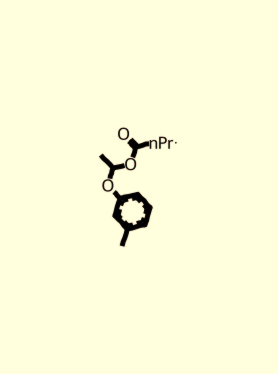 CC[CH]C(=O)OC(C)Oc1cccc(C)c1